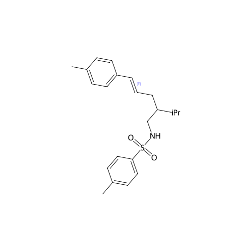 Cc1ccc(/C=C/CC(CNS(=O)(=O)c2ccc(C)cc2)C(C)C)cc1